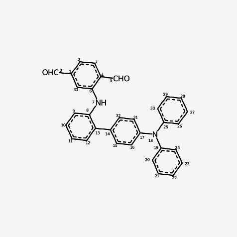 O=Cc1ccc(C=O)c(Nc2ccccc2-c2ccc(N(c3ccccc3)c3ccccc3)cc2)c1